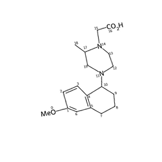 COc1ccc2c(c1)CCCC2N1CCN(CC(=O)O)C(C)C1